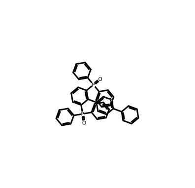 O=P(c1ccccc1)(c1ccccc1)c1cccc(P(=O)(c2ccccc2)c2ccccc2)c1-c1ccc(-c2ccccc2)nc1